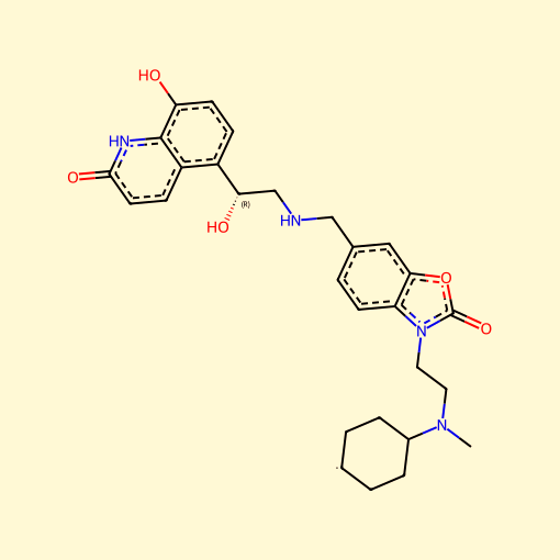 CN(CCn1c(=O)oc2cc(CNC[C@H](O)c3ccc(O)c4[nH]c(=O)ccc34)ccc21)C1CC[CH]CC1